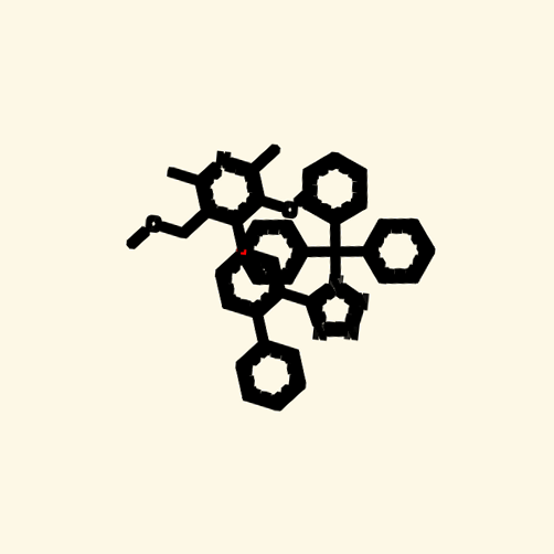 COCc1c(C)nc(C)c(OC)c1-c1ccc(-c2ccccc2)c(-c2nnnn2C(c2ccccc2)(c2ccccc2)c2ccccc2)c1